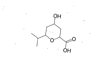 CC(C)C1CC(O)CC(C(=O)O)O1